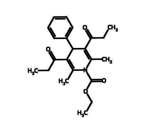 CCOC(=O)N1C(C)=C(C(=O)CC)C(c2ccccc2)C(C(=O)CC)=C1C